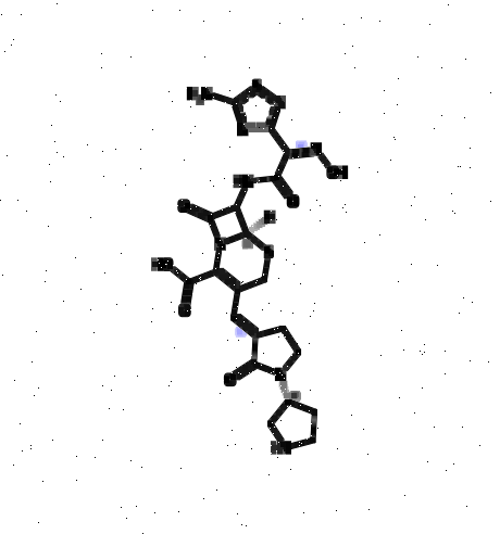 Nc1nc(/C(=N/O)C(=O)NC2C(=O)N3C(C(=O)O)=C(/C=C4\CCN([C@@H]5CCNC5)C4=O)CS[C@H]23)ns1